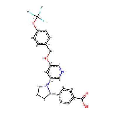 O=C(O)c1ccc(C2CCCN2c2cncc(OCc3ccc(OC(F)(F)F)cc3)c2)cc1